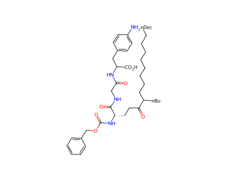 CCCCCCCCCCCCCCCCCCC(CCCC)C(=O)CC[C@H](NC(=O)OCc1ccccc1)C(=O)NCC(=O)NC(Cc1ccc(N)cc1)C(=O)O